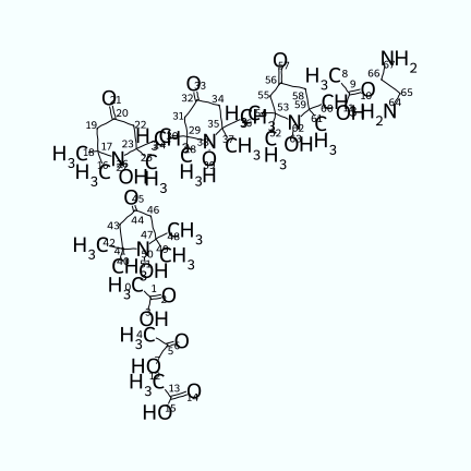 CC(=O)O.CC(=O)O.CC(=O)O.CC(=O)O.CC1(C)CC(=O)CC(C)(C)N1O.CC1(C)CC(=O)CC(C)(C)N1O.CC1(C)CC(=O)CC(C)(C)N1O.CC1(C)CC(=O)CC(C)(C)N1O.NCCN